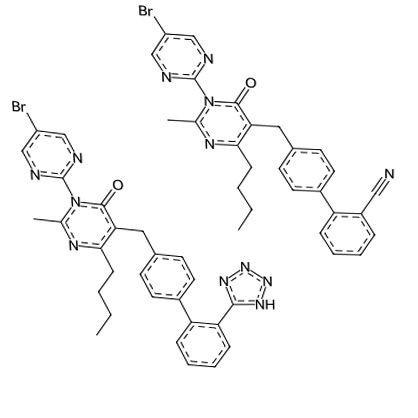 CCCCc1nc(C)n(-c2ncc(Br)cn2)c(=O)c1Cc1ccc(-c2ccccc2-c2nnn[nH]2)cc1.CCCCc1nc(C)n(-c2ncc(Br)cn2)c(=O)c1Cc1ccc(-c2ccccc2C#N)cc1